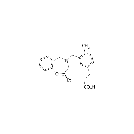 CC[C@@H]1CN(Cc2cc(CCC(=O)O)ccc2C)Cc2ccccc2O1